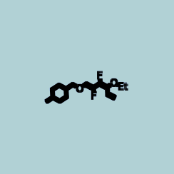 C=C/C(OCC)=C(F)\C(F)=C\OCC1CCC(C)CC1